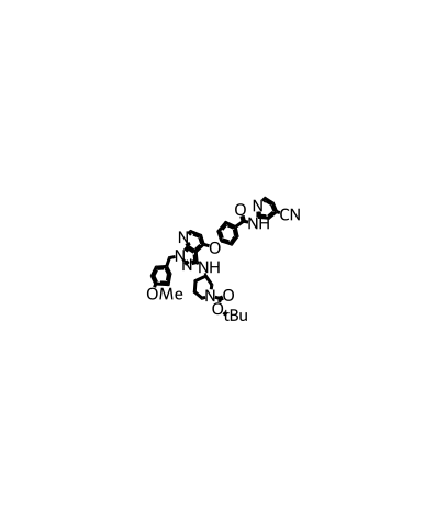 COc1ccc(Cn2nc(N[C@@H]3CCCN(C(=O)OC(C)(C)C)C3)c3c(Oc4ccc(C(=O)Nc5cc(C#N)ccn5)cc4)ccnc32)cc1